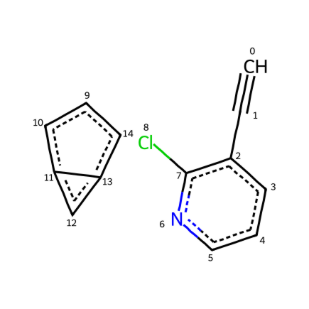 C#Cc1cccnc1Cl.c1cc2cc-2c1